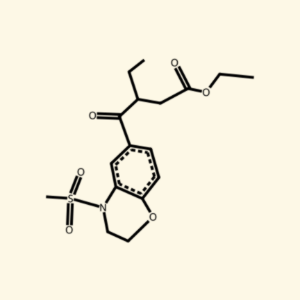 CCOC(=O)CC(CC)C(=O)c1ccc2c(c1)N(S(C)(=O)=O)CCO2